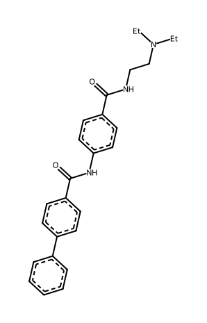 CCN(CC)CCNC(=O)c1ccc(NC(=O)c2ccc(-c3ccccc3)cc2)cc1